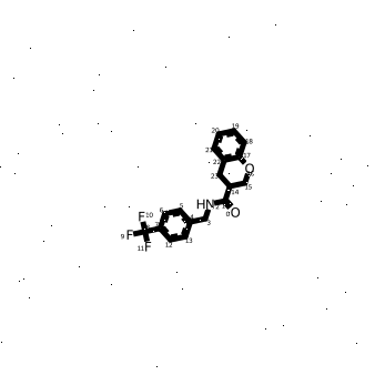 O=C(NCc1ccc(C(F)(F)F)cc1)C1COc2ccccc2C1